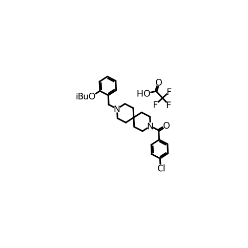 CC(C)COc1ccccc1CN1CCC2(CC1)CCN(C(=O)c1ccc(Cl)cc1)CC2.O=C(O)C(F)(F)F